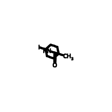 CC12CCC(I)(CC1)NC2=O